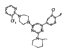 CC1CCCCN1c1nc(-c2ccc(F)c(Cl)c2)cc(N2CCN(c3ncccc3C(F)(F)F)CC2)n1